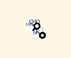 O=CNC1CCCc2c1cnn2-c1ccccc1F